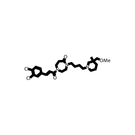 COCC1(C)CCCN(CCCCN2CCN(C(=O)/C=C/c3ccc(Cl)c(Cl)c3)CCC2=O)C1